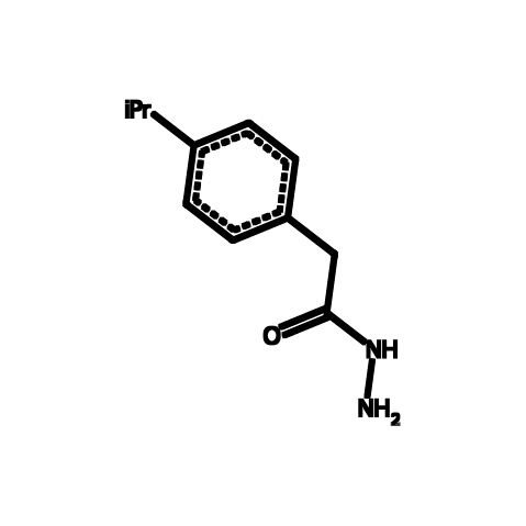 CC(C)c1ccc(CC(=O)NN)cc1